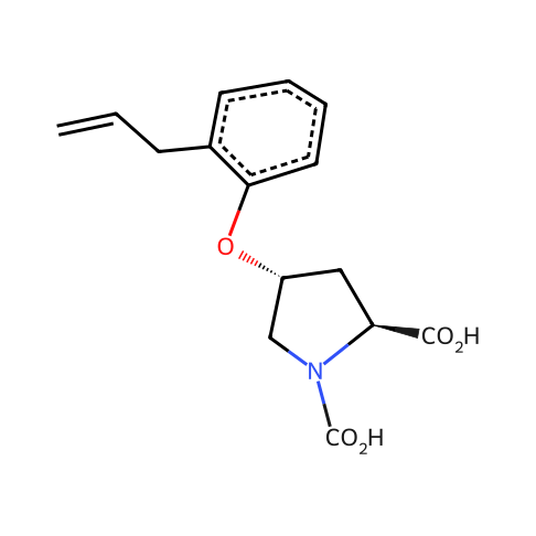 C=CCc1ccccc1O[C@@H]1C[C@@H](C(=O)O)N(C(=O)O)C1